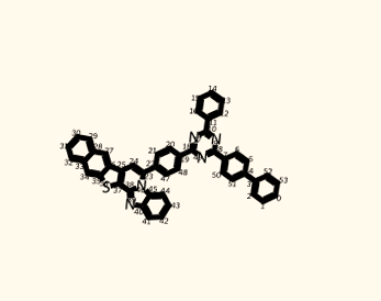 c1ccc(-c2ccc(-c3nc(-c4ccccc4)nc(-c4ccc(-c5cc6c7cc8ccccc8cc7sc6c6nc7ccccc7n56)cc4)n3)cc2)cc1